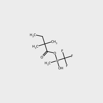 CCC(C)(C)C(=O)O[Si](C)(O)C(F)(F)F